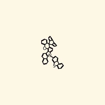 c1ccc2c(c1)Oc1c(ccc3c1c1ccc4ccccc4c1n3-c1ccc3c(c1)sc1ccccc13)C21c2ccccc2-c2ccccc21